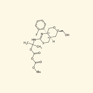 CC(C)(C)OC(=O)OC(=O)OC(C)(C)NC1=N[C@@]2(c3ccccc3F)CO[C@@H](CO)C[C@H]2CS1